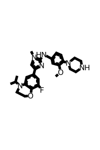 COc1cc(Nc2nc(-c3cc(F)c4c(c3)N(C(C)C)CCO4)cn2C)ccc1N1CCNCC1